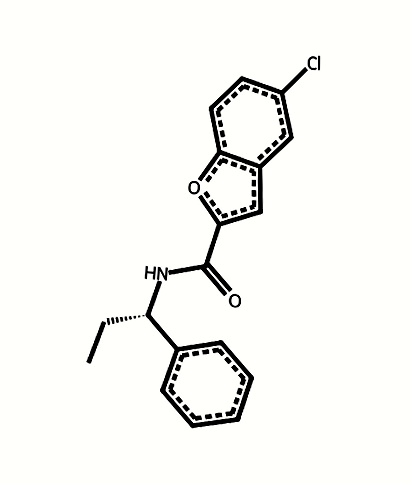 CC[C@H](NC(=O)c1cc2cc(Cl)ccc2o1)c1ccccc1